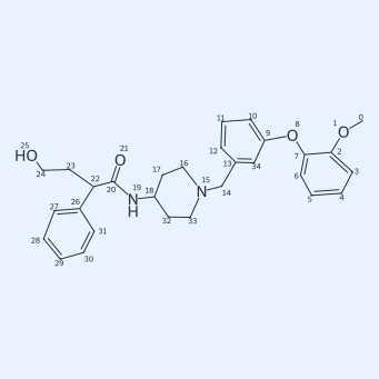 COc1ccccc1Oc1cccc(CN2CCC(NC(=O)C(CCO)c3ccccc3)CC2)c1